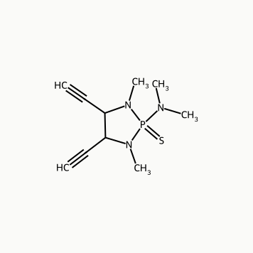 C#CC1C(C#C)N(C)P(=S)(N(C)C)N1C